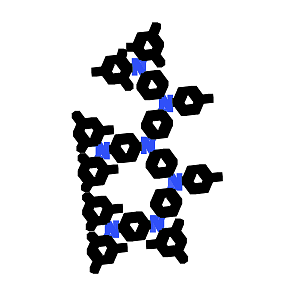 Cc1ccc(N(c2ccc(N(c3ccc(N(c4ccc(C)cc4)c4ccc(N(c5c(C)cc(C)cc5C)c5c(C)cc(C)cc5C)cc4)cc3)c3ccc(N(c4c(C)cc(C)cc4C)c4c(C)cc(C)cc4C)cc3)cc2)c2ccc(N(c3ccc(N(c4c(C)cc(C)cc4C)c4c(C)cc(C)cc4C)cc3)c3c(C)cc(C)cc3C)cc2)cc1